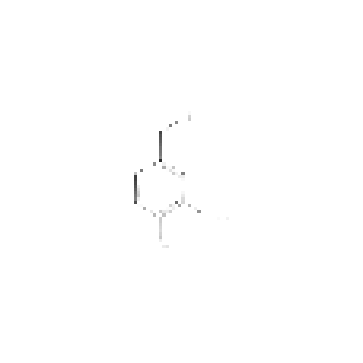 COc1ccc(CCl)cc1C=O